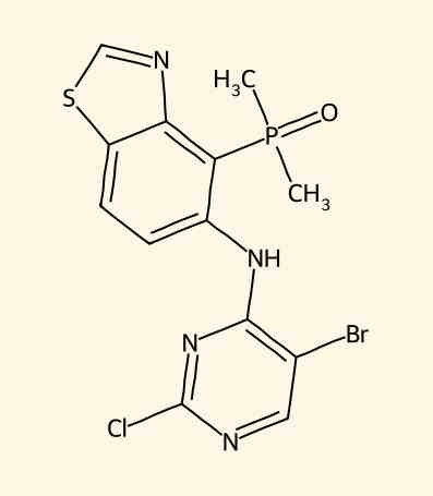 CP(C)(=O)c1c(Nc2nc(Cl)ncc2Br)ccc2scnc12